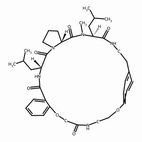 CC(C)C[C@H]1NC(=O)c2ccccc2OCC(=O)NCCOc2ccc(cc2)CCNC(=O)[C@H](CC(C)C)N(C)C(=O)[C@H]2CCCN2C1=O